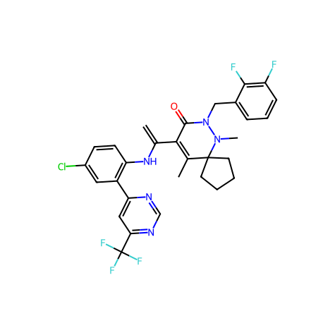 C=C(Nc1ccc(Cl)cc1-c1cc(C(F)(F)F)ncn1)C1=C(C)C2(CCCC2)N(C)N(Cc2cccc(F)c2F)C1=O